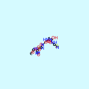 CCCOc1cccc(Oc2cc3c(cc2NS(=O)(=O)c2cccc(C(=O)NCCCOCC(=O)N[C@H](C(=O)N4C[C@H](O)C[C@H]4C(=O)NCc4ccc(-c5scnc5C)cc4)C(C)(C)C)c2)n(C)c(=O)n3C)c1